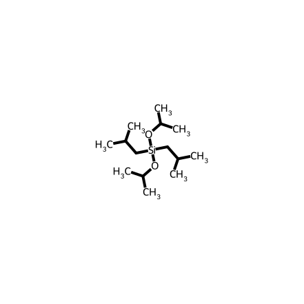 CC(C)C[Si](CC(C)C)(OC(C)C)OC(C)C